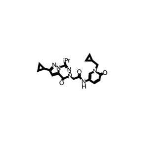 CC(C)c1nn(CC(=O)Nc2ccc(=O)n(CC3CC3)c2)c(=O)c2cc(C3CC3)nn12